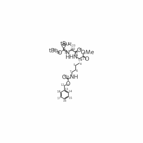 COC(=O)[C@H](CCCCNC(=O)OCc1ccccc1)NC(=O)[C@@H](CC(C)(C)C)NC(=O)OC(C)(C)C